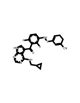 N#CC1=CC(SNc2ccc(F)c(C(=O)c3c[nH]c4ncnc(NCC5CC5)c34)c2F)=CCC1